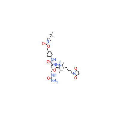 CC(CCCCCN1C(=O)C=CC1=O)N[C@H](C(=O)N[C@@H](CCCNC(N)=O)C(=O)Nc1ccc(COC(=O)N2CC(C(C)(C)C)C2)cc1)C(C)C